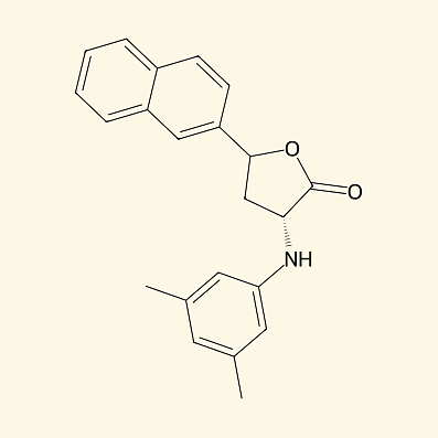 Cc1cc(C)cc(N[C@@H]2CC(c3ccc4ccccc4c3)OC2=O)c1